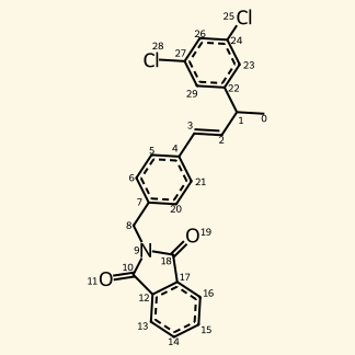 CC(C=Cc1ccc(CN2C(=O)c3ccccc3C2=O)cc1)c1cc(Cl)cc(Cl)c1